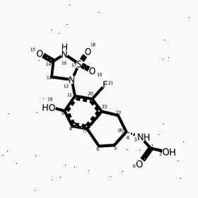 O=C(O)N[C@@H]1CCc2cc(O)c(N3CC(=O)NS3(=O)=O)c(F)c2C1